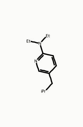 CCN(CC)c1ccc(CC(C)C)cn1